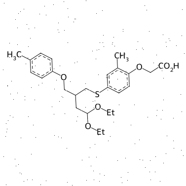 CCOC(CC(COc1ccc(C)cc1)CSc1ccc(OCC(=O)O)c(C)c1)OCC